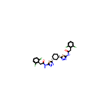 O=C(Cc1c(F)cccc1F)Nc1nnc([C@@H]2CCC[C@@H](c3nnc(NC(=O)Cc4c(F)cccc4F)s3)C2)s1